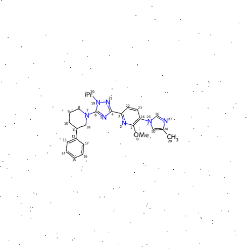 COc1nc(-c2nc(N3CCCC(c4ccccc4)C3)n(C(C)C)n2)ccc1-n1cnc(C)c1